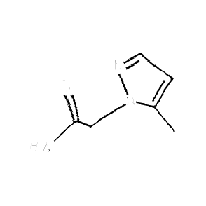 Cc1ccnn1CC(N)=O